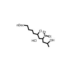 CCCCCCCCCCCCCCC(Cl)CC(CC(C)O)N(CC)CC.Cl